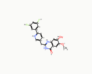 COc1cc2c(=O)[nH]c(Cc3ccc(-c4cc(F)cc(F)c4)nc3)nc2cc1O